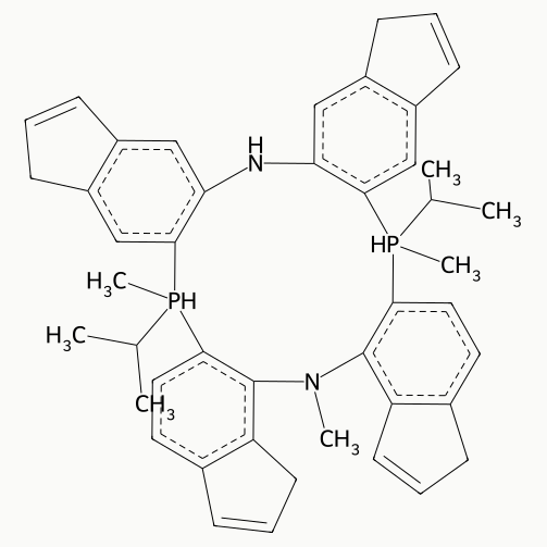 CC(C)[PH]1(C)c2cc3c(cc2Nc2cc4c(cc2[PH](C)(C(C)C)c2ccc5c(c2N(C)c2c1ccc1c2C=CC1)CC=C5)CC=C4)CC=C3